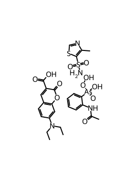 CC(=O)Nc1ccccc1[As](=O)(O)OO.CCN(CC)c1ccc2cc(C(=O)O)c(=O)oc2c1.Cc1ncsc1S(N)(=O)=O